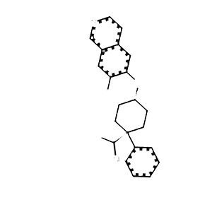 CCC(N)[C@]1(c2ccccc2)CC[C@H](Oc2cc3ccncc3cc2F)CC1